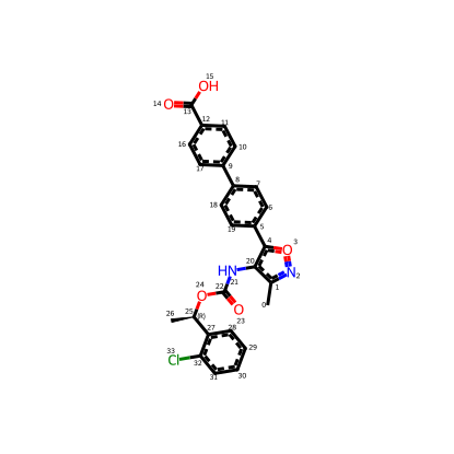 Cc1noc(-c2ccc(-c3ccc(C(=O)O)cc3)cc2)c1NC(=O)O[C@H](C)c1ccccc1Cl